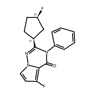 O=c1c2c(F)ccn2nc([C@H]2CC[C@@H](F)C2)n1-c1ccccc1